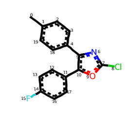 Cc1ccc(-c2nc(Cl)oc2-c2ccc(F)cc2)cc1